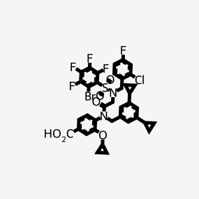 O=C(O)c1ccc(N(Cc2cc(C3CC3)cc(C3CC3)c2)C(=O)CN(Cc2ccc(F)cc2Cl)S(=O)(=O)c2c(F)c(F)c(F)c(F)c2Br)c(OC2CC2)c1